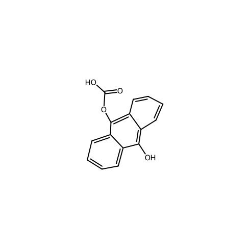 O=C(O)Oc1c2ccccc2c(O)c2ccccc12